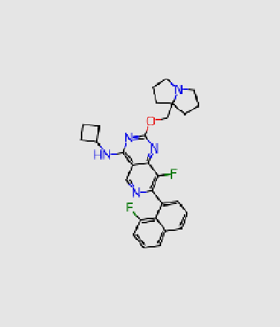 Fc1c(-c2cccc3cccc(F)c23)ncc2c(NC3CCC3)nc(OCC34CCCN3CCC4)nc12